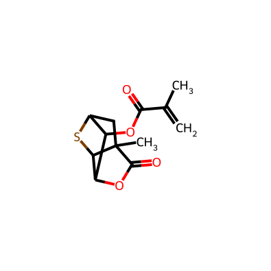 C=C(C)C(=O)OC1C2CC3(C)C(=O)OC1C3S2